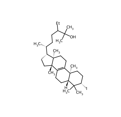 CCC(CC[C@@H](C)[C@H]1CC[C@@]2(C)C3=C(CC[C@]12C)[C@@]1(C)CC[C@H](I)C(C)(C)[C@@H]1CC3)C(C)(C)O